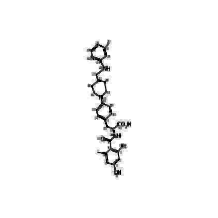 CCc1cc(C#N)cc(C)c1C(=O)NC(Cc1ccc(N2CCC(CNc3cc(C)ccn3)CC2)cc1)C(=O)O